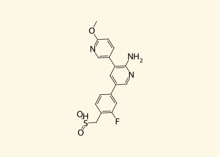 COc1ccc(-c2cc(-c3ccc(C[SH](=O)=O)c(F)c3)cnc2N)cn1